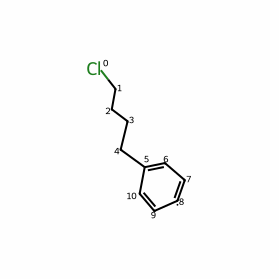 ClCCCCc1cc[c]cc1